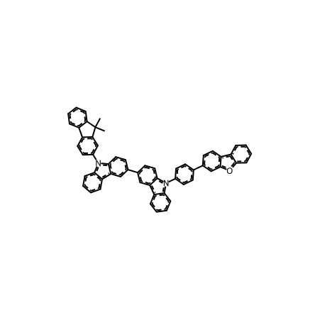 CC1(C)c2ccccc2-c2ccc(-n3c4ccccc4c4cc(-c5ccc6c(c5)c5ccccc5n6-c5ccc(-c6ccc7c(c6)oc6ccccc67)cc5)ccc43)cc21